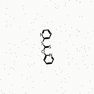 S=C(Oc1ccccn1)Sc1ccccn1